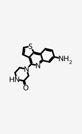 Nc1ccc2c(c1)nc(N1CCNC(=O)C1)c1ccsc12